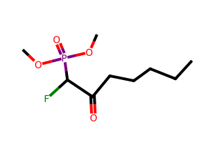 CCCCCC(=O)C(F)P(=O)(OC)OC